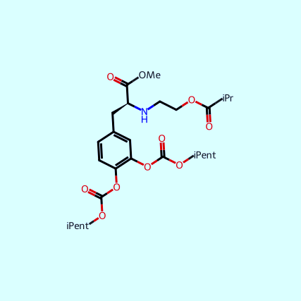 CCCC(C)OC(=O)Oc1ccc(C[C@H](NCCOC(=O)C(C)C)C(=O)OC)cc1OC(=O)OC(C)CCC